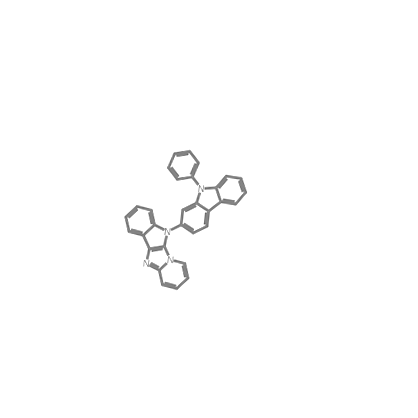 c1ccc(-n2c3ccccc3c3ccc(-n4c5ccccc5c5nc6ccccn6c54)cc32)cc1